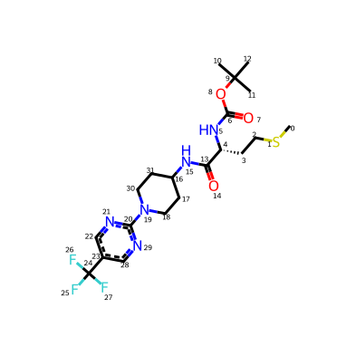 CSCC[C@@H](NC(=O)OC(C)(C)C)C(=O)NC1CCN(c2ncc(C(F)(F)F)cn2)CC1